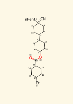 CCCCCC1(C#N)CCC(C2CCC(OC(=O)C3CCC(CC)CC3)CC2)CC1